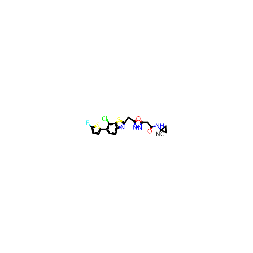 N#CC1(NC(=O)Cc2nnc(Cc3nc4ccc(-c5ccc(F)s5)c(Cl)c4s3)o2)CC1